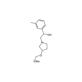 COCOC1CCN(CC(O)c2cccc(C)c2)C1